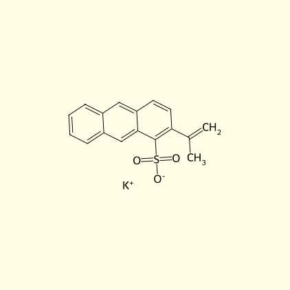 C=C(C)c1ccc2cc3ccccc3cc2c1S(=O)(=O)[O-].[K+]